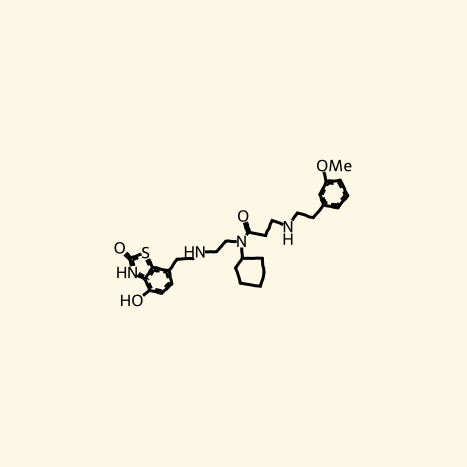 COc1cccc(CCNCCC(=O)N(CCNCCc2ccc(O)c3[nH]c(=O)sc23)C2CCCCC2)c1